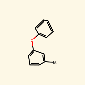 CCc1cccc(Oc2ccccc2)c1